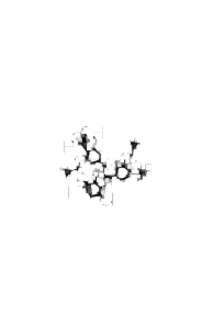 CS(=O)(=O)Nc1ccc(C(=O)O[C@@H](Cc2c(Cl)c[nH]c(=O)c2Cl)c2ccc(OC(F)F)c(OCC3CC3)c2)cc1OCC1CC1